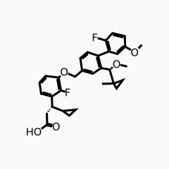 COc1ccc(F)c(-c2ccc(COc3cccc([C@@H](CC(=O)O)C4CC4)c3F)cc2[C@@H](OC)C2(C)CC2)c1